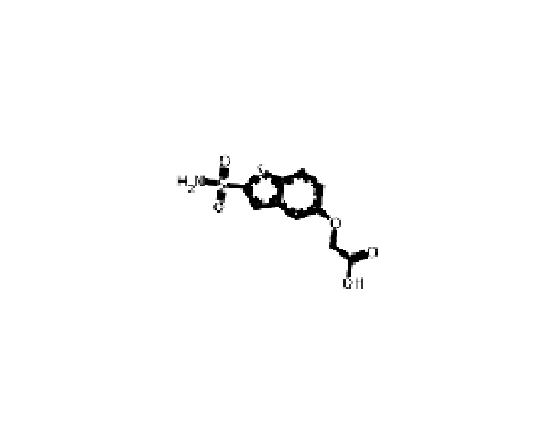 NS(=O)(=O)c1cc2cc(OCC(=O)O)ccc2s1